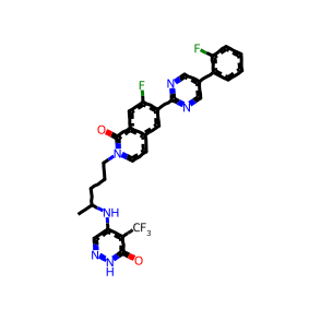 CC(CCCn1ccc2cc(-c3ncc(-c4ccccc4F)cn3)c(F)cc2c1=O)Nc1cn[nH]c(=O)c1C(F)(F)F